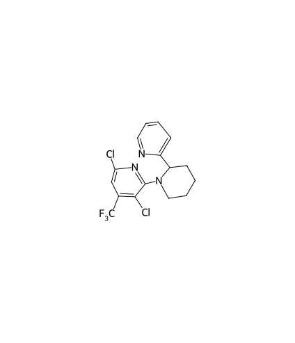 FC(F)(F)c1cc(Cl)nc(N2CCCCC2c2ccccn2)c1Cl